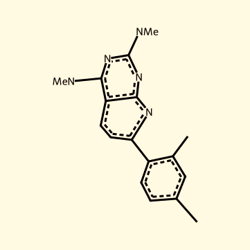 CNc1nc(NC)c2ccc(-c3ccc(C)cc3C)nc2n1